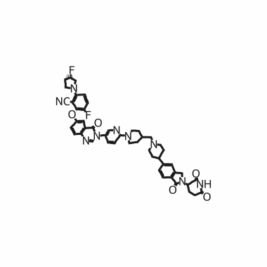 N#Cc1c(N2CC[C@@H](F)C2)ccc(F)c1Oc1ccc2ncn(-c3ccc(N4CCC(CN5CCC(c6ccc7c(c6)CN(C6CCC(=O)NC6=O)C7=O)CC5)CC4)nc3)c(=O)c2c1